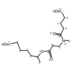 CCCCCCCCCCCCCCC(C)OC(=O)CCN(C)C(=O)CCCCCCCCCCCCC